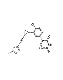 Cn1ccc(C#C[C@H]2CC2c2cc(-c3c[nH]c(=O)[nH]c3=O)nnc2Cl)c1